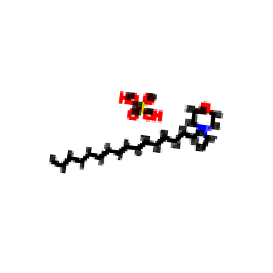 CCCCCCCCCCCCCCCC[N+]1(CC)CCOCC1.O=S(=O)(O)O